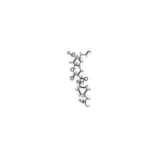 C=CCc1cc2cc(C(=O)Nc3ccc(CN(C)C)cc3)c(=O)oc2cc1OC